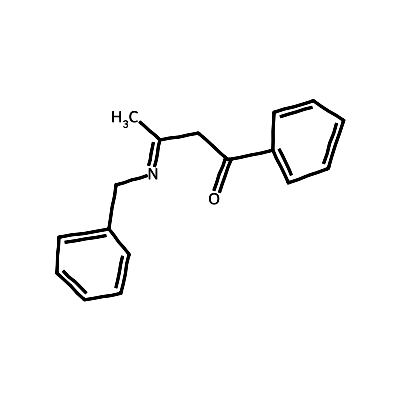 CC(CC(=O)c1ccccc1)=NCc1ccccc1